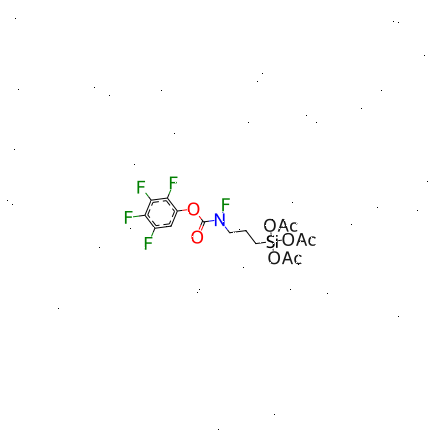 CC(=O)O[Si](CCCN(F)C(=O)Oc1cc(F)c(F)c(F)c1F)(OC(C)=O)OC(C)=O